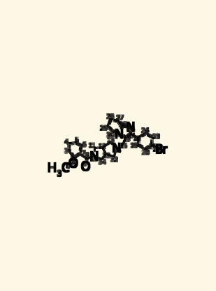 COc1ccccc1C(=O)N1CC2CN(Cc3c(-c4ccc(Br)cc4)nc4ccccn34)CC2C1